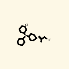 C1CCC(P(C2CCCCC2)C2CCCCC2)CC1.C=C(C)[CH2][Pd+].[Cl-]